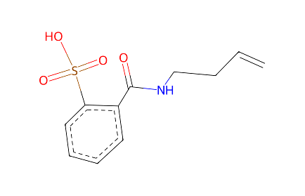 C=CCCNC(=O)c1ccccc1S(=O)(=O)O